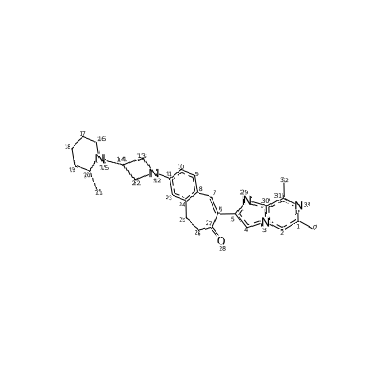 Cc1cn2cc(C3=Cc4ccc(N5CC(N6CCCCC6C)C5)cc4CCC3=O)nc2c(C)n1